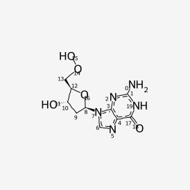 Nc1nc2c(ncn2[C@H]2C[C@H](O)[C@@H](COO)O2)c(=O)[nH]1